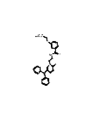 CCOC(=O)COc1cccc(C(=O)NCCn2cc(C(c3ccccc3)c3ccccc3)ccc2=O)c1